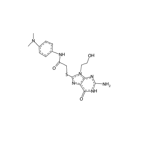 CN(C)c1ccc(NC(=O)CSc2nc3c(=O)[nH]c(N)nc3n2CCO)cc1